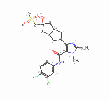 Cc1nc(C2CC3CC(O)(CS(C)(=O)=O)CC3C2)c(C(=O)Nc2ccc(F)c(Cl)c2)n1C